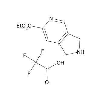 CCOC(=O)c1cc2c(cn1)CNC2.O=C(O)C(F)(F)F